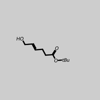 CC(C)(C)OC(=O)CCC=CCO